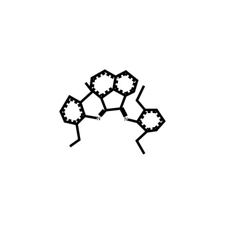 CCc1cccc(CC)c1/N=C1/C(=N/c2c(CC)cccc2CC)c2cccc3cccc1c23